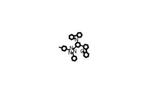 Cc1ccc(-c2nc(-c3ccccc3)nc(-c3cc(-c4cccc5c4oc4ccccc45)cc(-n4c5ccccc5c5ccccc54)c3)n2)cc1